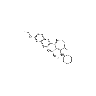 CCOc1ccc2cc(C3=NCCC(CC4CCCCC4)C(N)=C3C(N)=O)cnc2c1